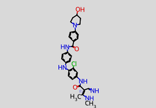 CN/C(C)=C(\C=N)C(=O)Nc1ccc(Nc2ccc(NC(=O)c3ccc(N4CCC(O)CC4)cc3)cc2)c(Cl)c1